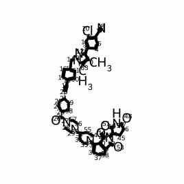 Cc1c(-c2ccc(C#N)c(Cl)c2)nn(Cc2ccc(C#C[C@H]3CC[C@H](C(=O)N4CCN(C5CCN(c6cccc7c6C(=O)N(C6CCC(=O)NC6=O)C7=O)CC5)CC4)CC3)cc2)c1C